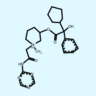 C[N@@+]1(CC(=O)Nc2ncncn2)CCCC(OC(=O)C(O)(c2ccccc2)C2CCCCC2)C1